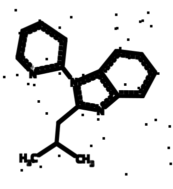 CC(C)Cc1nc2ccccc2n1-c1ccccn1